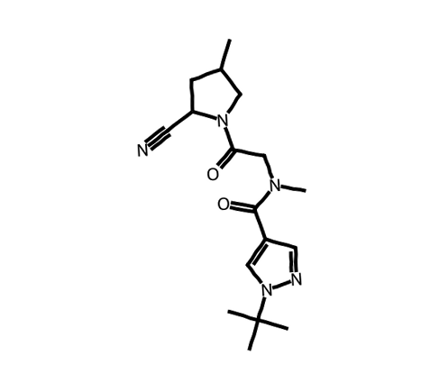 CC1CC(C#N)N(C(=O)CN(C)C(=O)c2cnn(C(C)(C)C)c2)C1